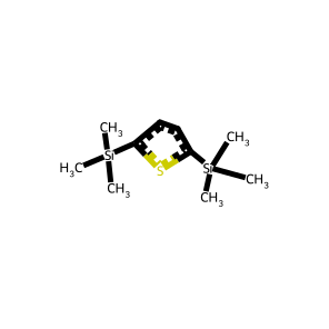 C[Si](C)(C)c1ccc([Si](C)(C)C)s1